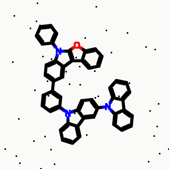 c1ccc(-n2c3ccc(-c4cccc(-n5c6ccccc6c6cc(-n7c8ccccc8c8ccccc87)ccc65)c4)cc3c3c4ccccc4oc32)cc1